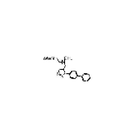 CNCCN(C)CC1CN=NC1c1ccc(-c2ccccc2)cc1